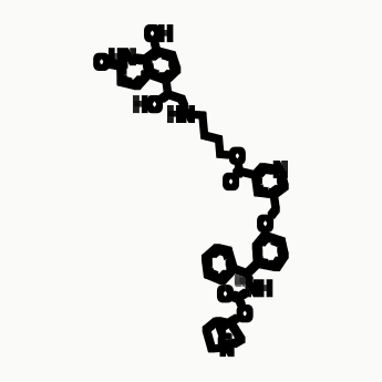 O=C(N[C@@H](c1ccccc1)c1cccc(OCc2cncc(C(=O)OCCCCNCC(O)c3ccc(O)c4[nH]c(=O)ccc34)c2)c1)OC1CN2CCC1CC2